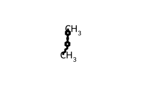 CCCCCc1ccc(C#Cc2ccc(C)cc2)cc1